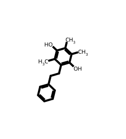 Cc1c(C)c(O)c(CCc2ccccc2)c(C)c1O